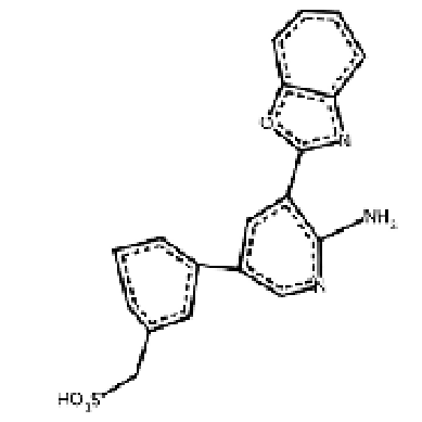 Nc1ncc(-c2cccc(CS(=O)(=O)O)c2)cc1-c1nc2ccccc2o1